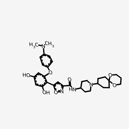 CN(C)c1ccc(Oc2cc(O)cc(O)c2-c2cc(C(=O)NC3CCN(C4CCC5(CC4)OCCCO5)CC3)no2)cc1